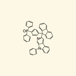 O=P(c1ccccc1)(c1ccccc1)c1ccc(C2(c3cc4c5ccccc5n(-c5ccccc5)c4cn3)c3ccccc3-c3ccccc32)cc1